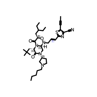 CC#Cc1sc(/C=C/CN2O[C@H](CC(CC)CC)C(=O)N3[C@@H]2CN([C@@H]2CCN(CCCCC)C2)C(=O)[C@@H]3CC(C)(C)C)nc1C#N